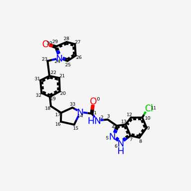 O=C(NCc1n[nH]c2ccc(Cl)cc12)N1CCC(Cc2ccc(Cn3ccccc3=O)cc2)C1